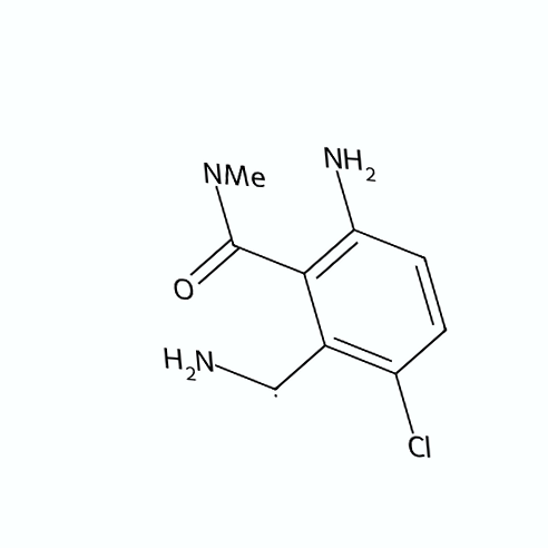 CNC(=O)c1c(N)ccc(Cl)c1[CH]N